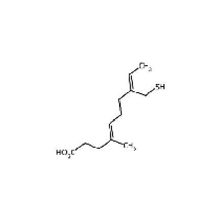 CC=C(CS)CCC=C(C)CCC(=O)O